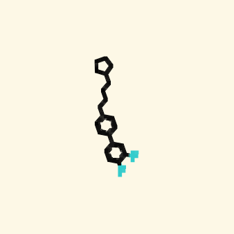 Fc1ccc(-c2ccc(CCCCC3CCCC3)cc2)cc1F